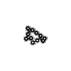 c1ccc(-c2ccc(N(c3cccc(-c4ccc(-c5ccc6c7ccccc7n(-c7ccc(-c8ccccc8-c8ccccc8)cc7)c6c5)cc4)c3)c3cccc4ccccc34)cc2)cc1